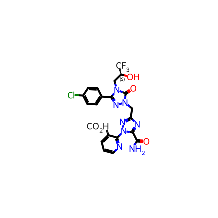 NC(=O)c1nc(Cn2nc(-c3ccc(Cl)cc3)n(C[C@H](O)C(F)(F)F)c2=O)nn1-c1ncccc1C(=O)O